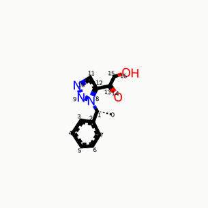 C[C@H](c1ccccc1)n1nncc1C(=O)CO